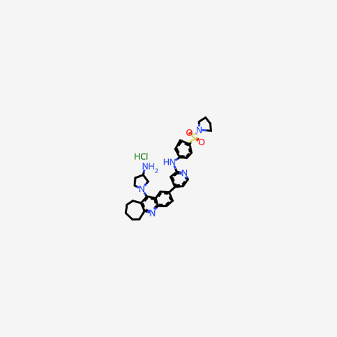 Cl.NC1CCN(c2c3c(nc4ccc(-c5ccnc(Nc6ccc(S(=O)(=O)N7CCCC7)cc6)c5)cc24)CCCCC3)C1